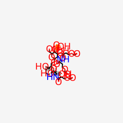 C[C@H](O)C(COC1OC(CO)C(OP(=O)(O)O)C(OC(=O)CCOC=O)C1NC(=O)CCOC=O)OC(O)[C@H](CO)NC(=O)CCOC=O